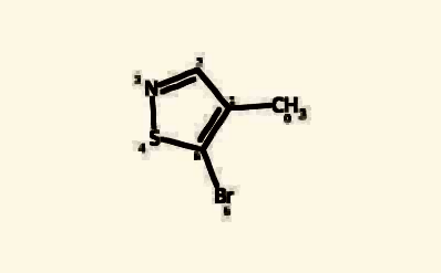 Cc1cnsc1Br